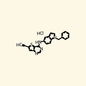 C#Cc1cc2ncnc(Nc3ccc4c(ccn4Cc4ccccc4)c3)c2s1.Cl